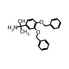 CC(C)(N)c1ccc(OCc2ccccc2)c(OCc2ccccc2)c1